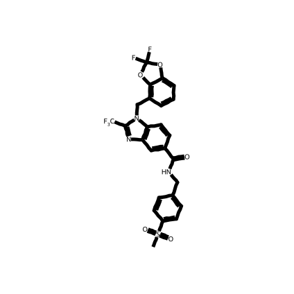 CS(=O)(=O)c1ccc(CNC(=O)c2ccc3c(c2)nc(C(F)(F)F)n3Cc2cccc3c2OC(F)(F)O3)cc1